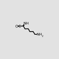 N=C(B=O)CCCCCN